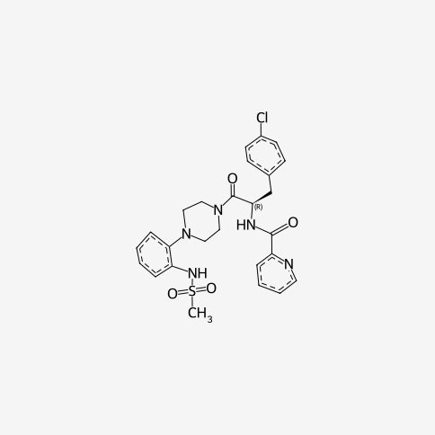 CS(=O)(=O)Nc1ccccc1N1CCN(C(=O)[C@@H](Cc2ccc(Cl)cc2)NC(=O)c2ccccn2)CC1